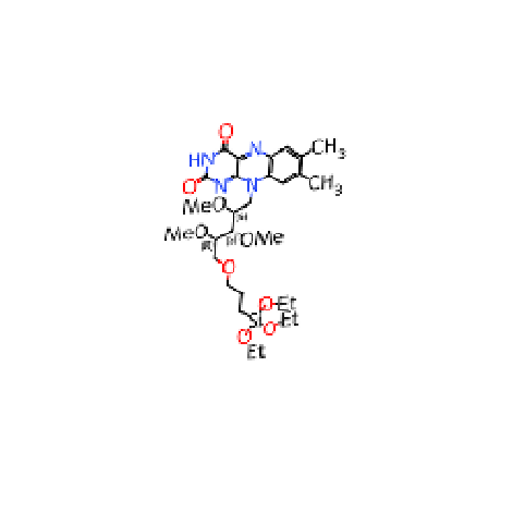 CCO[Si](CCCOC[C@@H](OC)[C@@H](OC)[C@H](Cn1c2nc(=O)[nH]c(=O)c-2nc2cc(C)c(C)cc21)OC)(OCC)OCC